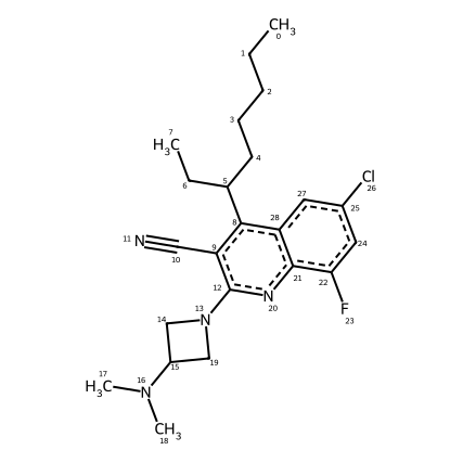 CCCCCC(CC)c1c(C#N)c(N2CC(N(C)C)C2)nc2c(F)cc(Cl)cc12